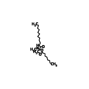 CCCCCCCCCCCC(=O)C(C)(NC)OC(=O)CCCCCCC